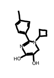 Cc1ccc(C2=NC(O)=C(O)CN2C2CCC2)cc1